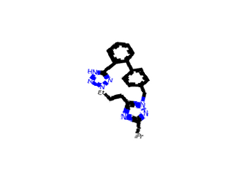 CC/C=C/c1nc(C(C)C)nn1Cc1ccc(-c2ccccc2-c2nnn[nH]2)cc1